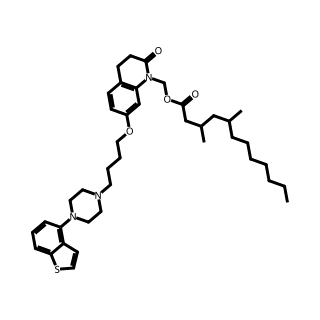 CCCCCCCC(C)CC(C)CC(=O)OCN1C(=O)CCc2ccc(OCCCCN3CCN(c4cccc5sccc45)CC3)cc21